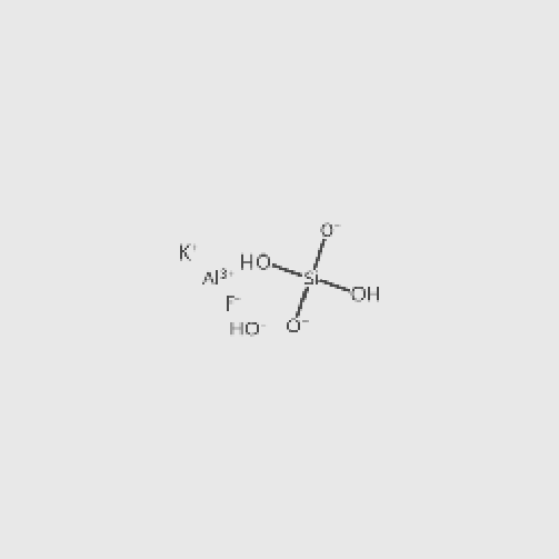 [Al+3].[F-].[K+].[O-][Si]([O-])(O)O.[OH-]